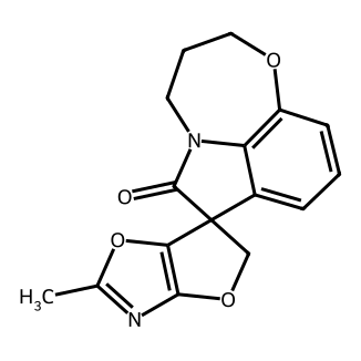 Cc1nc2c(o1)C1(CO2)C(=O)N2CCCOc3cccc1c32